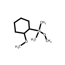 COC1CCCCC1[Si](C)(C)OC